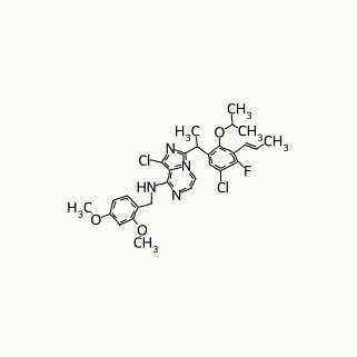 C/C=C/c1c(F)c(Cl)cc(C(C)c2nc(Cl)c3c(NCc4ccc(OC)cc4OC)nccn23)c1OC(C)C